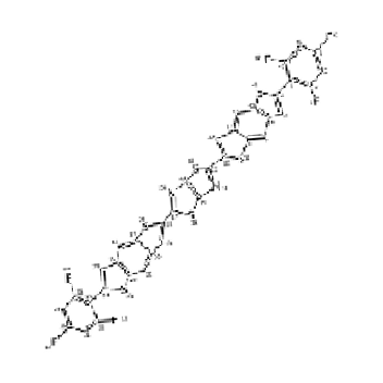 Fc1cc(F)c(-c2cc3cc4sc(-c5nc6sc(-c7cc8cc9sc(-c%10c(F)cc(F)cc%10F)cc9cc8s7)nc6s5)cc4cc3s2)c(F)c1